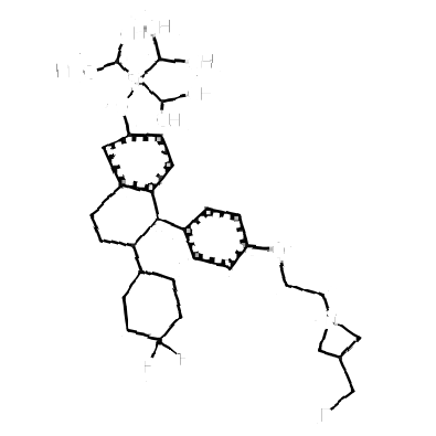 CC(C)[Si](Oc1ccc2c(c1)CCC(C1CCC(F)(F)CC1)C2c1ccc(OCCN2CC(CF)C2)cc1)(C(C)C)C(C)C